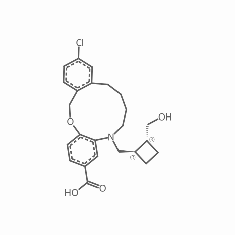 O=C(O)c1ccc2c(c1)N(C[C@@H]1CC[C@H]1CO)CCCCc1cc(Cl)ccc1CO2